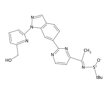 C/C(=N\[S+]([O-])C(C)(C)C)c1ccnc(-c2ccc3cnn(-c4cccc(CO)n4)c3c2)n1